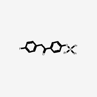 CC(C)[Si](Oc1ccc(C(=O)Cc2ccc(F)cc2)cc1)(C(C)C)C(C)C